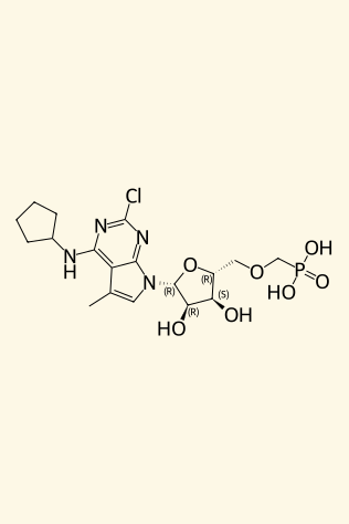 Cc1cn([C@@H]2O[C@H](COCP(=O)(O)O)[C@@H](O)[C@H]2O)c2nc(Cl)nc(NC3CCCC3)c12